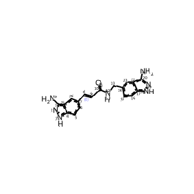 Nc1n[nH]c2ccc(/C=C/C(=O)NCc3ccc4[nH]nc(N)c4c3)cc12